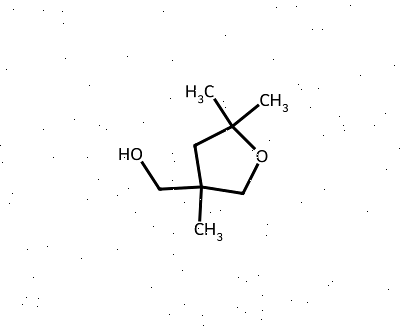 CC1(CO)COC(C)(C)C1